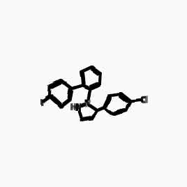 Clc1ccc(C2C=CNN2c2ccccc2-c2ccc(I)cc2)cc1